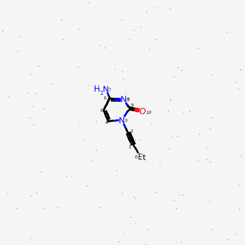 CCC#Cn1ccc(N)nc1=O